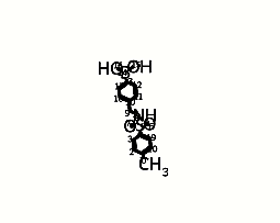 Cc1ccc(S(=O)(=O)NCc2ccc(B(O)O)cc2)cc1